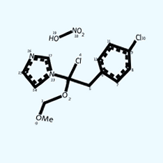 COCOC(Cl)(Cc1ccc(Cl)cc1)n1ccnc1.O=[N+]([O-])O